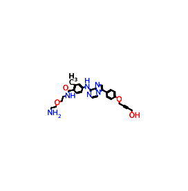 Cc1cc(Nc2nccn3c(-c4ccc(OCC#CCO)cc4)cnc23)ccc1C(=O)NCCOCCN